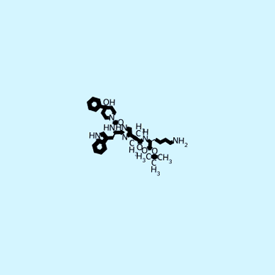 CC(C)(C)OC(=O)[C@@H](CCCCN)NC(=O)C(C)(C)c1c[nH]c([C@@H](Cc2c[nH]c3ccccc23)NC(=O)N2CCC(O)(c3ccccc3)CC2)n1